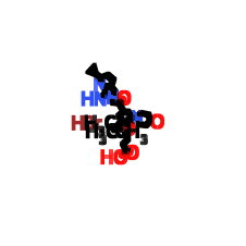 Br.CC(C)(C)c1cc(C(=O)CN2Cc3ccc(C4CC4)nc3C2=N)cc(N2CCC(=O)CC2)c1OCCCC(=O)O